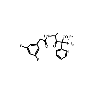 CCOC(=O)C(N)(C(=O)[C@H](C)NC(=O)Cc1cc(F)cc(F)c1)c1ccccn1